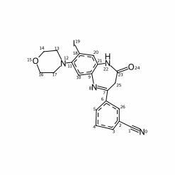 N#Cc1cccc(C2=Nc3cc(N4CCOCC4)c(I)cc3NC(=O)C2)c1